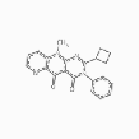 Cn1c2cccnc2c(=O)c2c(=O)n(-c3ccccc3)c(C3CCC3)nc21